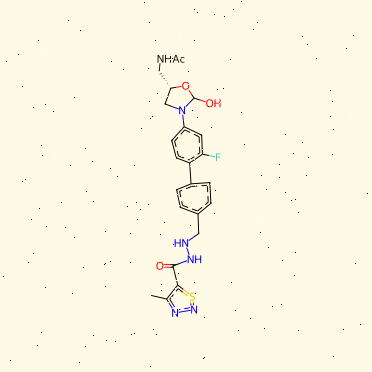 CC(=O)NC[C@H]1CN(c2ccc(-c3ccc(CNNC(=O)c4snnc4C)cc3)c(F)c2)C(O)O1